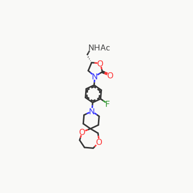 CC(=O)NC[C@H]1CN(c2ccc(N3CCC4(CC3)COCCCO4)c(F)c2)C(=O)O1